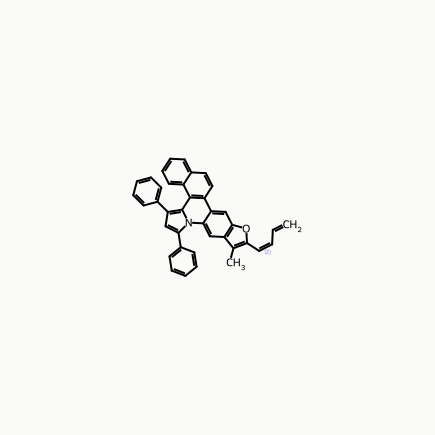 C=C/C=C\c1oc2cc3c4ccc5ccccc5c4c4c(-c5ccccc5)cc(-c5ccccc5)n4c3cc2c1C